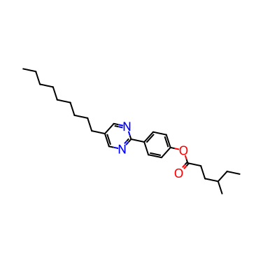 CCCCCCCCCc1cnc(-c2ccc(OC(=O)CCC(C)CC)cc2)nc1